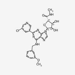 CNC(=O)[C@H]1O[C@H](n2cnc3c(NCc4cccc(OC)c4)nc(-c4cncc(Cl)c4)nc32)[C@H](O)[C@@H]1O